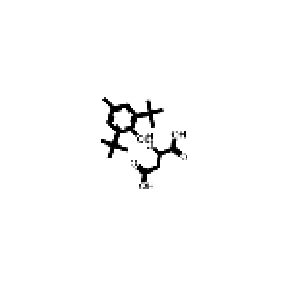 Cc1cc(C(C)(C)C)c(O)c(C(C)(C)C)c1.O=C(O)CC(O)C(=O)O